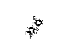 Fc1cccc(Sc2ccc(F)c(F)c2)c1